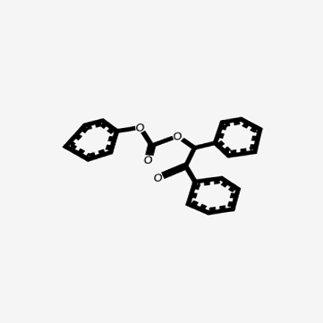 O=C(Oc1ccccc1)OC(C(=O)c1ccccc1)c1ccccc1